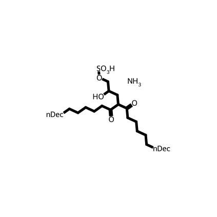 CCCCCCCCCCCCCCCC(=O)C(CC(O)COS(=O)(=O)O)C(=O)CCCCCCCCCCCCCCC.N